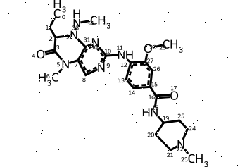 CCC1C(=O)N(C)c2cnc(Nc3ccc(C(=O)NC4CCN(C)CC4)cc3OC)nc2N1NC